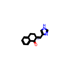 O=C1/C(=C/c2c[nH]cn2)CCc2ccccc21